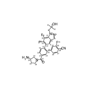 CC(C)(O)Cn1ncc2cc(-c3ccc(C(=O)N4CCC(N)C4)cc3-c3ccc(C#N)c(F)c3)c(F)c(F)c21